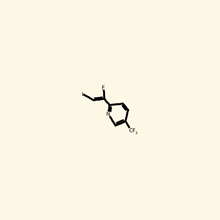 F/C(=C\I)c1ccc(C(F)(F)F)cn1